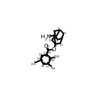 NC12CC3CC(C1)CC(OC(=O)c1cc(I)cc(I)c1I)(C3)C2